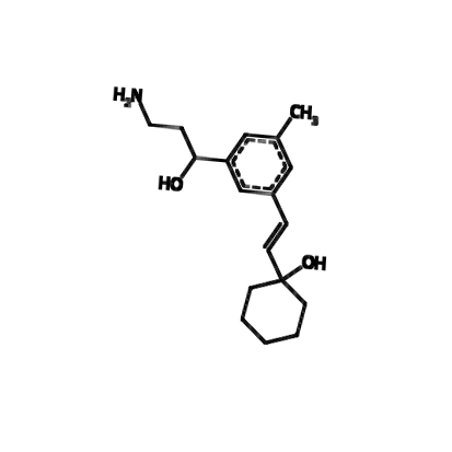 Cc1cc(/C=C/C2(O)CCCCC2)cc(C(O)CCN)c1